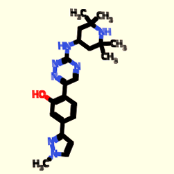 Cn1ccc(-c2ccc(-c3cnc(NC4CC(C)(C)NC(C)(C)C4)nn3)c(O)c2)n1